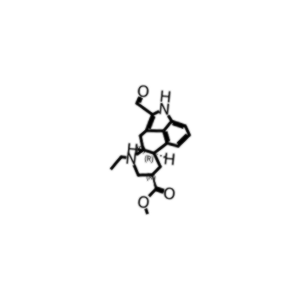 CCN1C[C@H](C(=O)OC)C[C@@H]2c3cccc4[nH]c(C=O)c(c34)C[C@H]21